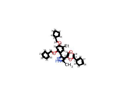 CCc1cc(-c2n[nH]c(C)c2C2=COC=C(C3=CC=CCC3)O2)c(OCc2ccccc2)cc1OCc1ccccc1